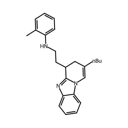 CCCCC1=Cn2c(nc3ccccc32)C(CCNc2ccccc2C)C1